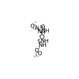 CC[C@@H]1CN(/C(=N/C(=N)c2ccc(NC(=S)NCCOC(=O)CC(C)C)cc2)c2ccc[nH]2)C[C@H](C)O1